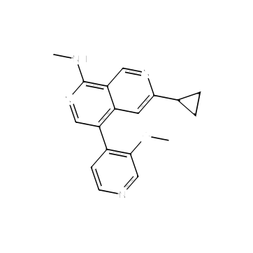 CNc1ncc(-c2ccncc2OC)c2cc(C3CC3)ncc12